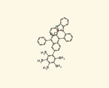 Bc1c(B)c(B)c(-c2ccc3c(-c4ccccc4-n4c(C)nc5ccccc54)c4ccccc4c(-c4ccccc4)c3c2)c(B)c1B